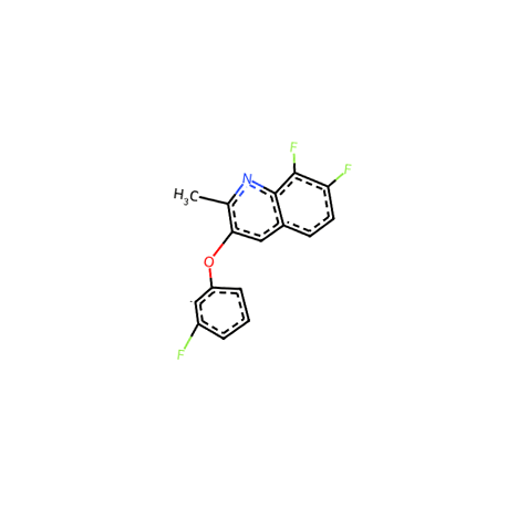 Cc1nc2c(F)c(F)ccc2cc1Oc1[c]c(F)ccc1